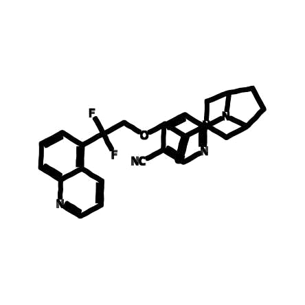 N#Cc1ccc(N2C3CCC2CN(C(=O)COCC(F)(F)c2cccc4ncccc24)C3)nc1